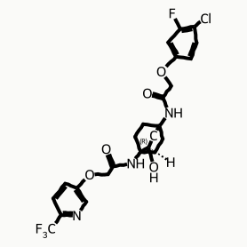 O=C(COc1ccc(Cl)c(F)c1)NC12CCC(NC(=O)COc3ccc(C(F)(F)F)nc3)(CC1)[C@H](O)C2